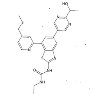 CCNC(=O)Nc1nc2cc(-c3cnc(C(C)O)nc3)cc(-c3cc(CSC)ccn3)c2s1